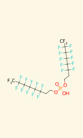 O=P(O)(OCCC(F)(F)C(F)(F)C(F)(F)C(F)(F)C(F)(F)C(F)(F)F)OCCC(F)(F)C(F)(F)C(F)(F)C(F)(F)C(F)(F)C(F)(F)F